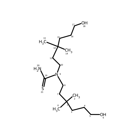 CC(C)(CCCO)CCN(CCC(C)(C)CCCO)C(N)=S